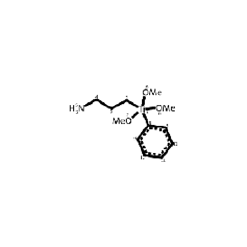 C[O][Ti]([CH2]CCN)([O]C)([O]C)[c]1ccccc1